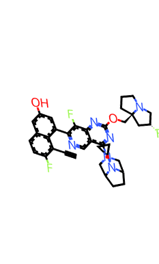 C#Cc1c(F)ccc2cc(O)cc(-c3ncc4c(N5CC6CCC(C5)N6C5CC5)nc(OC[C@@]56CCCN5C[C@H](F)C6)nc4c3F)c12